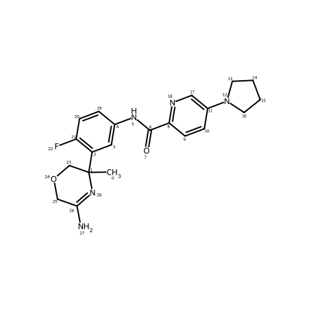 CC1(c2cc(NC(=O)c3ccc(N4CCCC4)cn3)ccc2F)COCC(N)=N1